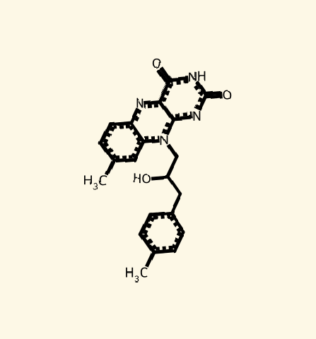 Cc1ccc(CC(O)Cn2c3nc(=O)[nH]c(=O)c-3nc3ccc(C)cc32)cc1